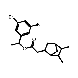 CC(OC(=O)CC1CC2CC1C(C)C2C)c1cc(Br)cc(Br)c1